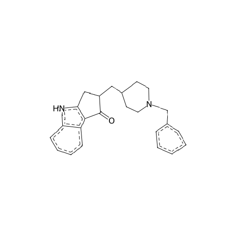 O=C1c2c([nH]c3ccccc23)CC1CC1CCN(Cc2ccccc2)CC1